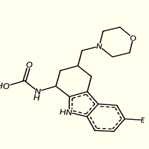 O=C(O)NC1CC(CN2CCOCC2)Cc2c1[nH]c1ccc(Br)cc21